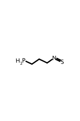 PCCCN=S